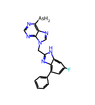 Fc1cc(-c2ccccc2)c2nc(Cn3cnc4c([AsH2])ncnc43)[nH]c2c1